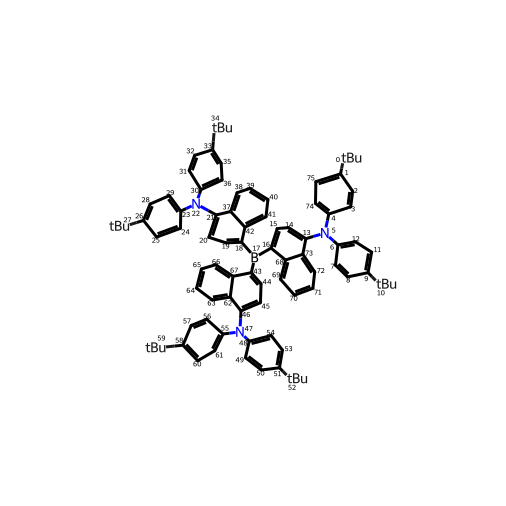 CC(C)(C)c1ccc(N(c2ccc(C(C)(C)C)cc2)c2ccc(B(c3ccc(N(c4ccc(C(C)(C)C)cc4)c4ccc(C(C)(C)C)cc4)c4ccccc34)c3ccc(N(c4ccc(C(C)(C)C)cc4)c4ccc(C(C)(C)C)cc4)c4ccccc34)c3ccccc23)cc1